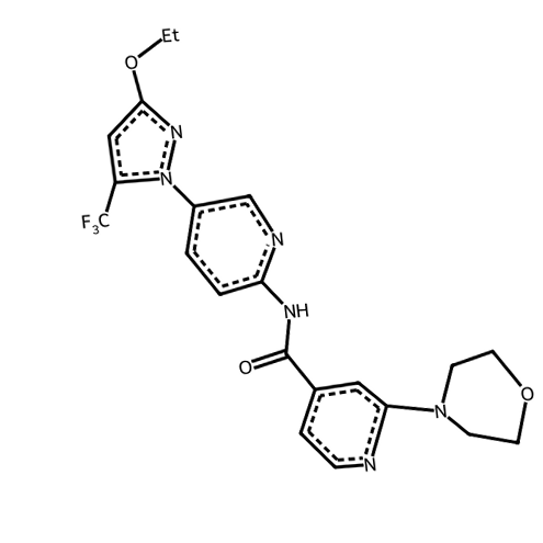 CCOc1cc(C(F)(F)F)n(-c2ccc(NC(=O)c3ccnc(N4CCOCC4)c3)nc2)n1